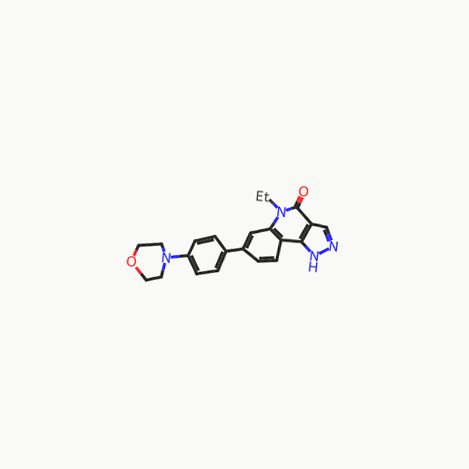 CCn1c(=O)c2cn[nH]c2c2ccc(-c3ccc(N4CCOCC4)cc3)cc21